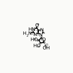 Nc1nc2c(ncn2[C@@H]2O[C@H](CO)C(O)[C@H]2O)c(=O)[nH]1